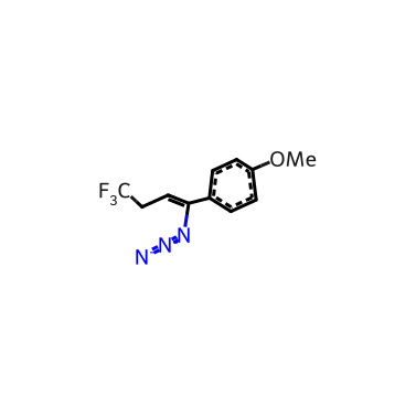 COc1ccc(C(=CCC(F)(F)F)N=[N+]=[N-])cc1